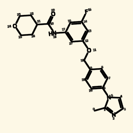 Cc1nccn1-c1ccc(COc2cc(F)cc(NC(=O)C3CCOCC3)c2)cc1